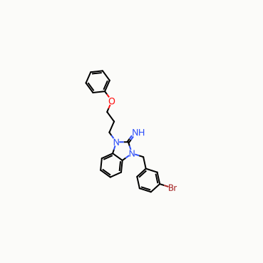 N=c1n(CCCOc2ccccc2)c2ccccc2n1Cc1cccc(Br)c1